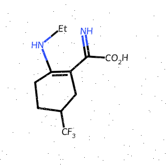 CCNC1=C(C(=N)C(=O)O)CC(C(F)(F)F)CC1